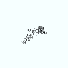 CC[C@H]1[C@@H](O)[C@@H]2[C@H](CC[C@]3(C)[C@@H]([C@H](C)CCOC(=O)NS(=O)(=O)c4ccc5c(c4)OCO5)CC[C@@H]23)[C@@]2(C)CC[C@@H](O)C[C@@H]12